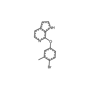 Cc1cc(Oc2nccc3cc[nH]c23)ccc1Br